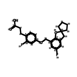 O=C(O)CCc1ccc(OCc2cc(F)cc3c2OC2(CCCC2)C3)cc1F